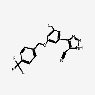 N#Cc1[nH]nnc1-c1cc(Cl)cc(OCc2ccc(C(F)(F)F)cc2)c1